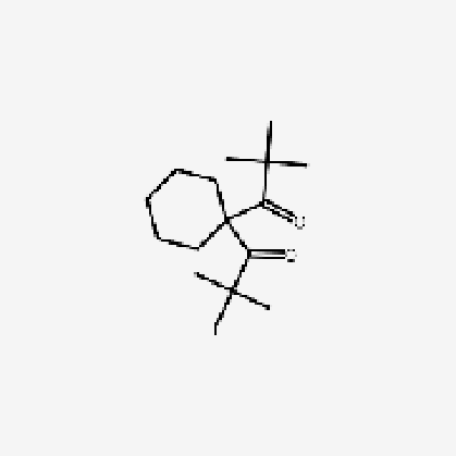 CC(C)(C)C(=O)C1(C(=O)C(C)(C)I)CCCCC1